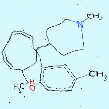 CCC1C=CC=CC1(c1cc(C)ccc1O)C1CCN(C)CC1